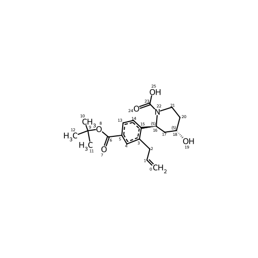 C=CCc1cc(C(=O)OC(C)(C)C)ccc1[C@@H]1C[C@@H](O)CCN1C(=O)O